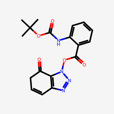 CC(C)(C)OC(=O)Nc1ccccc1C(=O)On1nnc2c1C(=O)CC=C2